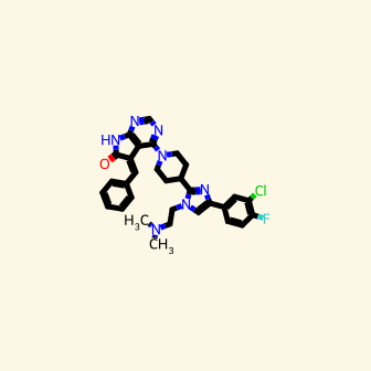 CN(C)CCn1cc(-c2ccc(F)c(Cl)c2)nc1C1CCN(c2ncnc3c2/C(=C/c2ccccc2)C(=O)N3)CC1